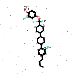 C/C=C\Cc1ccc(C2CCC(C3CCC(C(F)(F)Oc4ccc(OC(F)(F)F)c(F)c4)CC3)CC2)c(F)c1